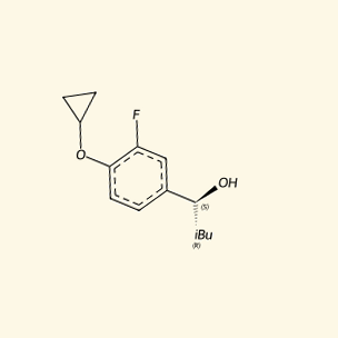 CC[C@@H](C)[C@H](O)c1ccc(OC2CC2)c(F)c1